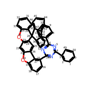 c1ccc(-c2nc(-c3ccccc3)nc(-c3cccc4oc5cc6c(cc5c34)C3(c4ccccc4O6)c4ccccc4-c4ccccc43)n2)cc1